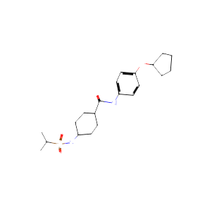 CC(C)S(=O)(=O)NC1CCC(C(=O)Nc2ccc(OC3CCCC3)cc2)CC1